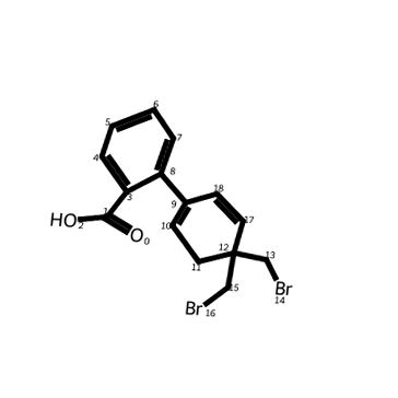 O=C(O)c1ccccc1C1=CCC(CBr)(CBr)C=C1